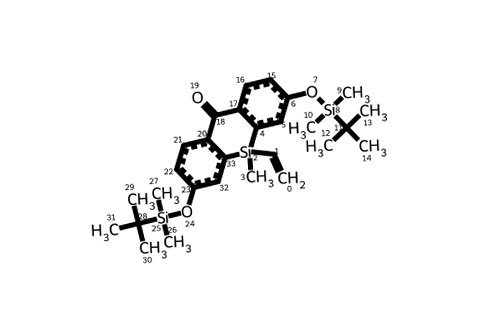 C=C[Si]1(C)c2cc(O[Si](C)(C)C(C)(C)C)ccc2C(=O)c2ccc(O[Si](C)(C)C(C)(C)C)cc21